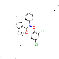 O=C(O)C1=C(C(=O)N(Oc2ccc(Cl)cc2Cl)c2ccccc2)CCC1